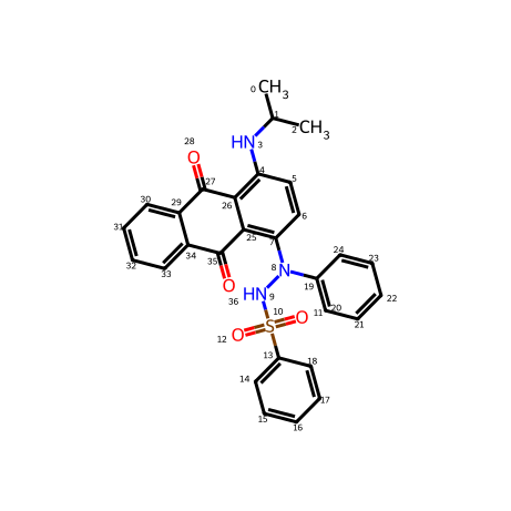 CC(C)Nc1ccc(N(NS(=O)(=O)c2ccccc2)c2ccccc2)c2c1C(=O)c1ccccc1C2=O